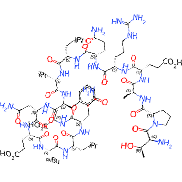 CC[C@H](C)[C@H](NC(=O)[C@H](CCC(=O)O)NC(=O)[C@H](CC(N)=O)NC(=O)[C@H](Cc1ccccc1)NC(=O)[C@@H](NC(=O)[C@H](CC(C)C)NC(=O)[C@H](CCC(N)=O)NC(=O)[C@H](CCCNC(=N)N)NC(=O)[C@H](CCC(=O)O)NC(=O)[C@H](C)NC(=O)[C@@H]1CCCN1C(=O)[C@@H](N)[C@@H](C)O)C(C)C)C(=O)N[C@@H](CC(C)C)C(=O)N[C@@H](CCC(N)=O)C(=O)N[C@@H](C)C(=O)O